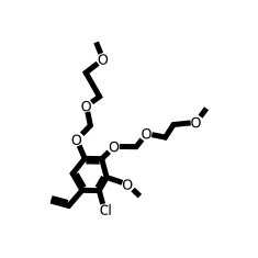 C=Cc1cc(OCOCCOC)c(OCOCCOC)c(OC)c1Cl